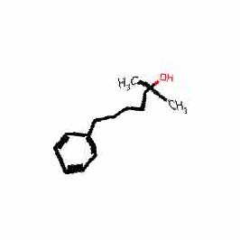 CC(C)(O)CCCCc1ccccc1